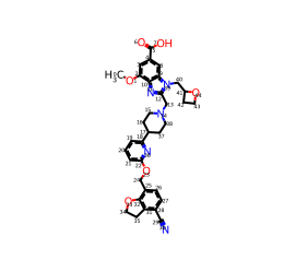 COc1cc(C(=O)O)cc2c1nc(CN1CCC(c3cccc(OCc4ccc(C#N)c5c4OCC5)n3)CC1)n2CC1CCO1